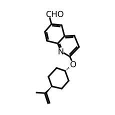 C=C(C)[C@H]1CC[C@H](Oc2ccc3cc(C=O)ccc3n2)CC1